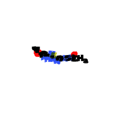 CC(=O)N1CCN(c2ccc(Nc3nc(-c4ccc(OC5CC5)cn4)ns3)nc2)CC1